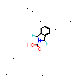 O=C(O)N1C(F)c2ccccc2C1F